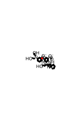 O=[N+]([O-])c1cc([N+](=O)[O-])c(Nc2c(OCCO)nn3ccccc23)cc1Nc1ccc(N(CCO)CCO)cc1